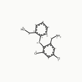 NCc1cc(Cl)cc(Cl)c1Sc1ncccc1CO